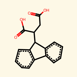 O=C(O)CC(C(=O)O)C1c2ccccc2-c2ccccc21